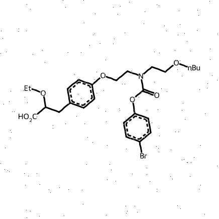 CCCCOCCN(CCOc1ccc(CC(OCC)C(=O)O)cc1)C(=O)Oc1ccc(Br)cc1